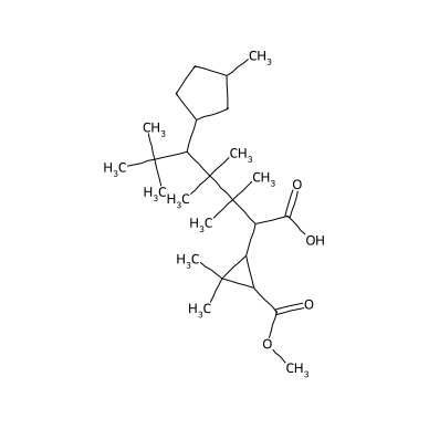 COC(=O)C1C(C(C(=O)O)C(C)(C)C(C)(C)C(C2CCC(C)C2)C(C)(C)C)C1(C)C